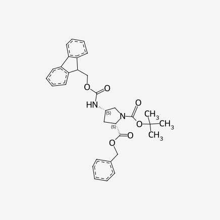 CC(C)(C)OC(=O)N1C[C@@H](NC(=O)OCC2c3ccccc3-c3ccccc32)C[C@H]1C(=O)OCc1ccccc1